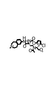 COCCN(CC[C@@H](NC(=O)Oc1ccc(Cl)s1)C(=O)Nc1ccc2c(c1)CCN(C)CC2)C(C)=O